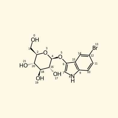 OC[C@H]1O[C@@H](Oc2c[nH]c3ccc(Br)cc23)[C@H](O)[C@@H](O)[C@@H]1O